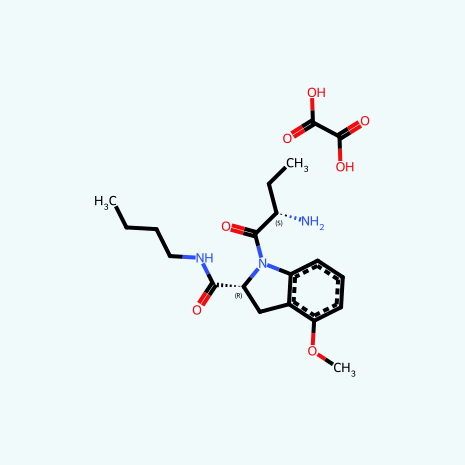 CCCCNC(=O)[C@H]1Cc2c(OC)cccc2N1C(=O)[C@@H](N)CC.O=C(O)C(=O)O